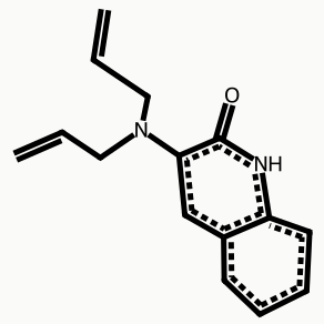 C=CCN(CC=C)c1cc2ccccc2[nH]c1=O